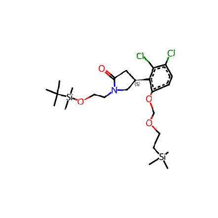 CC(C)(C)[Si](C)(C)OCCN1C[C@H](c2c(OCOCC[Si](C)(C)C)ccc(Cl)c2Cl)CC1=O